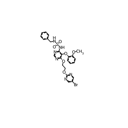 COc1ccccc1Oc1c(NS(=O)(=O)NCc2ccccc2)ncnc1OCCOc1ncc(Br)cn1